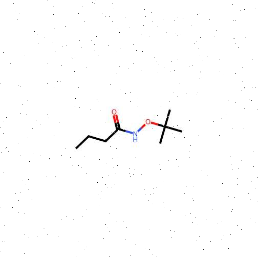 CCCC(=O)NOC(C)(C)C